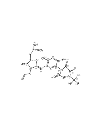 C=CCN1C(=O)C(CC(=O)O)SC1=Nc1cc(-n2c(=O)cc(C(F)(F)F)n(C)c2=O)c(F)cc1Cl